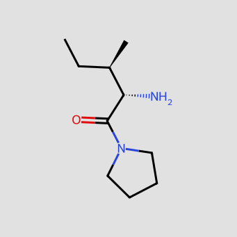 CC[C@@H](C)[C@H](N)C(=O)N1CCCC1